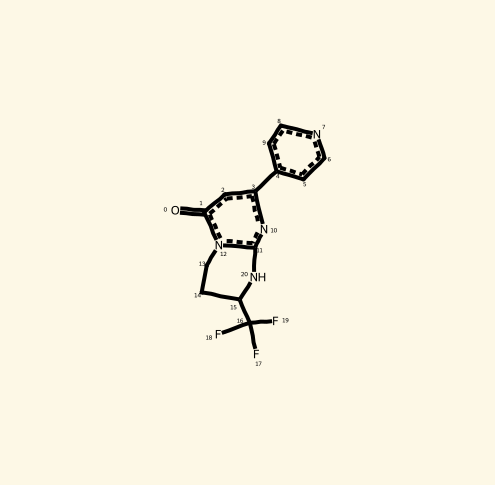 O=c1cc(-c2ccncc2)nc2n1CCC(C(F)(F)F)N2